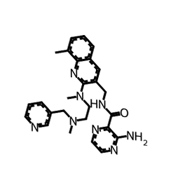 Cc1cccc2cc(CNC(=O)c3nccnc3N)c(N(C)CCN(C)Cc3cccnc3)nc12